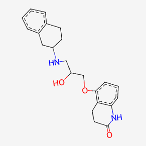 O=C1CCc2c(cccc2OCC(O)CNC2CCc3ccccc3C2)N1